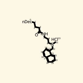 CCCCCCCCCCCCCC(=O)NCCCN(C)Cc1cccc2ccccc12.Cl